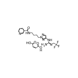 N/C(=N/CC(F)(F)F)Nc1cnn(CCCCNC(=O)c2cccnc2)n1.O=C(O)/C=C\C(=O)O